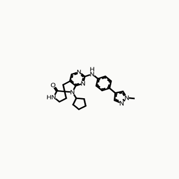 Cn1cc(-c2ccc(Nc3ncc4c(n3)N(C3CCCC3)C3(CCNC3=O)C4)cc2)cn1